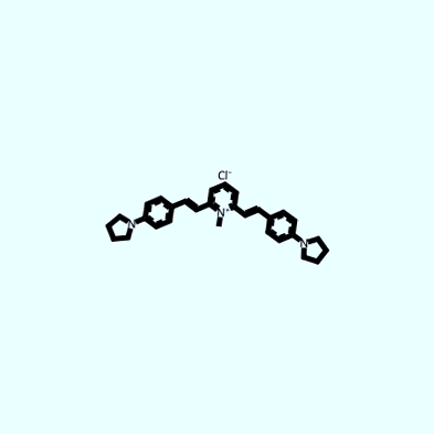 C[n+]1c(/C=C/c2ccc(N3CCCC3)cc2)cccc1/C=C/c1ccc(N2CCCC2)cc1.[Cl-]